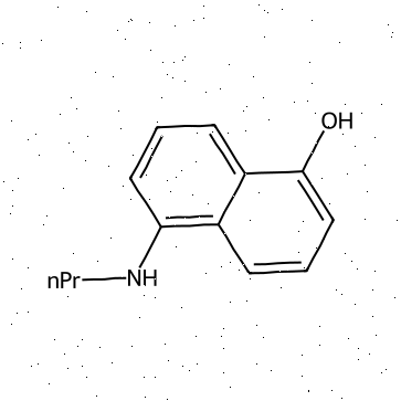 CCCNc1cccc2c(O)cccc12